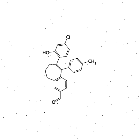 Cc1ccc(C2=C(c3ccc(Cl)cc3O)CCCc3cc(C=O)ccc32)cc1